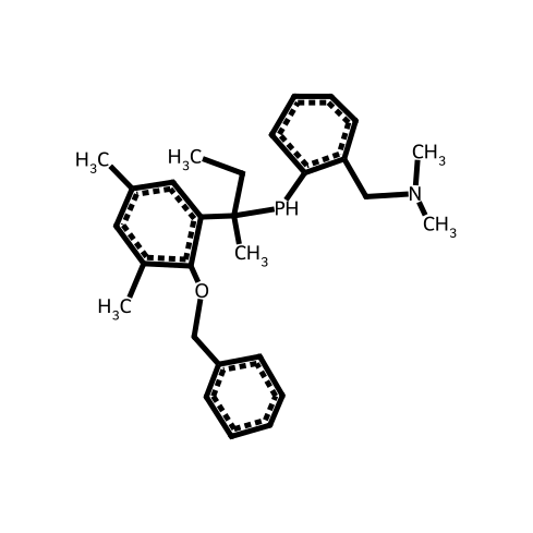 CCC(C)(Pc1ccccc1CN(C)C)c1cc(C)cc(C)c1OCc1ccccc1